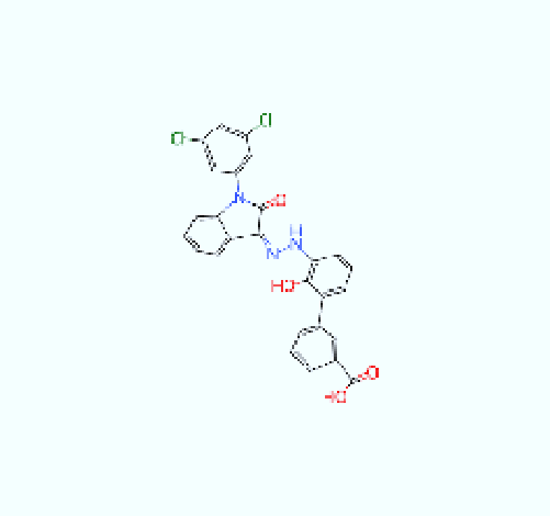 O=C(O)c1cccc(-c2cccc(N/N=C3\C(=O)N(c4cc(Cl)cc(Cl)c4)c4ccccc43)c2O)c1